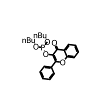 CCCCOP(OCCCC)Oc1c(-c2ccccc2)oc2ccccc2c1=O